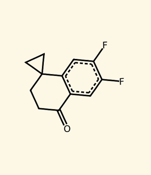 O=C1CCC2(CC2)c2cc(F)c(F)cc21